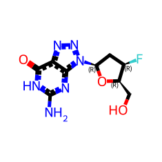 Nc1nc2c(nnn2[C@H]2C[C@@H](F)[C@@H](CO)O2)c(=O)[nH]1